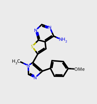 COc1ccc(-c2ncn(C)c2-c2cc3c(N)ncnc3s2)cc1